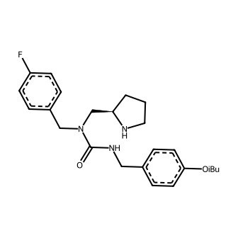 CC(C)COc1ccc(CNC(=O)N(Cc2ccc(F)cc2)C[C@H]2CCCN2)cc1